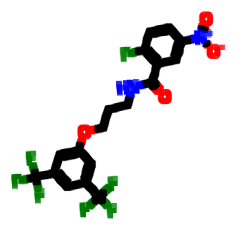 O=C(NCCCOc1cc(C(F)(F)F)cc(C(F)(F)F)c1)c1cc([N+](=O)[O-])ccc1F